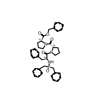 O=C(OCc1ccccc1)[C@@H]1CCCN1C(=O)[C@@H]1CCCN1C(=O)[C@H](Cc1ccccc1)NP(=O)(Cc1ccccc1)Cc1ccccc1